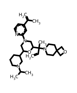 C=CC(C)(C1CN(c2cc(C(=C)C)ccn2)CC(C2CCCN(C(C)C)C2)O1)N1CCC2(CC1)COC2